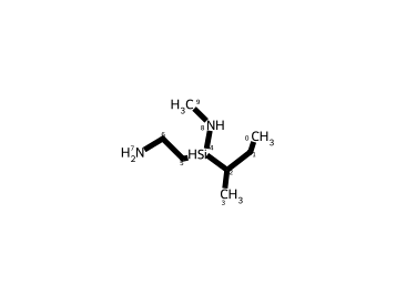 CCC(C)[SiH](CCN)NC